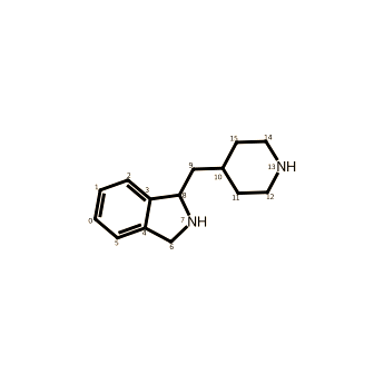 c1ccc2c(c1)CNC2CC1CCNCC1